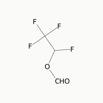 O=COC(F)C(F)(F)F